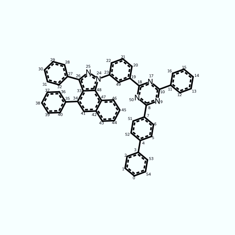 c1ccc(-c2ccc(-c3nc(-c4ccccc4)nc(-c4cccc(-n5nc(-c6ccccc6)c6c(-c7ccccc7)cc7ccccc7c65)c4)n3)cc2)cc1